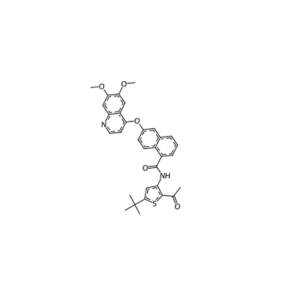 COc1cc2nccc(Oc3ccc4c(C(=O)Nc5cc(C(C)(C)C)sc5C(C)=O)cccc4c3)c2cc1OC